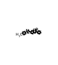 Cc1ccc(-n2ncc(-c3ccc4cc(-c5ccccc5)c(=O)oc4c3)n2)cc1